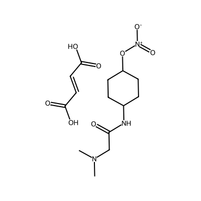 CN(C)CC(=O)NC1CCC(O[N+](=O)[O-])CC1.O=C(O)C=CC(=O)O